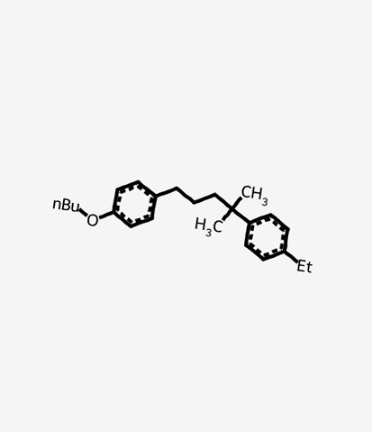 CCCCOc1ccc(CCCC(C)(C)c2ccc(CC)cc2)cc1